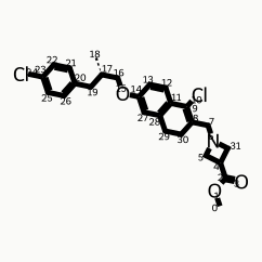 COC(=O)C1CN(CC2=C(Cl)c3ccc(OC[C@@H](C)Cc4ccc(Cl)cc4)cc3CC2)C1